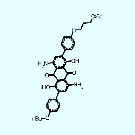 CCCCOc1ccc(-c2cc(N)c3c(c2O)C(=O)c2c(N)cc(-c4ccc(OCCCOC(C)=O)cc4)c(O)c2C3=O)cc1